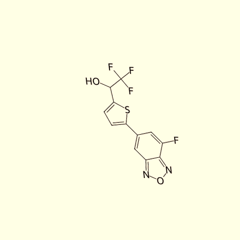 OC(c1ccc(-c2cc(F)c3nonc3c2)s1)C(F)(F)F